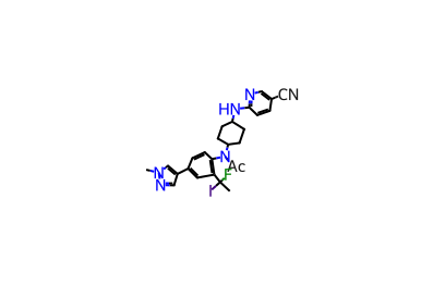 CC(=O)N(c1ccc(-c2cnn(C)c2)cc1C(C)(F)I)C1CCC(Nc2ccc(C#N)cn2)CC1